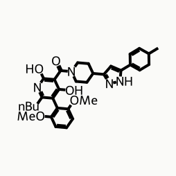 CCCCc1nc(O)c(C(=O)N2CCC(c3cc(C4=CCC(C)C=C4)[nH]n3)CC2)c(O)c1-c1c(OC)cccc1OC